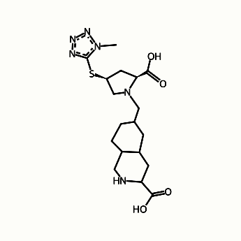 Cn1nnnc1S[C@H]1C[C@@H](C(=O)O)N(CC2CCC3CNC(C(=O)O)CC3C2)C1